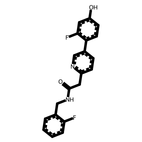 O=C(Cc1ccc(-c2ccc(O)cc2F)cn1)NCc1ccccc1F